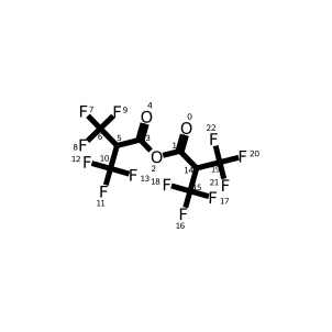 O=C(OC(=O)C(C(F)(F)F)C(F)(F)F)C(C(F)(F)F)C(F)(F)F